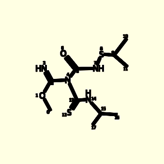 COC(=N)N(C(=O)NSC(C)C)C(=S)NC(C)C